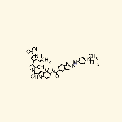 C=Cc1[nH]c(C(=O)O)cc1C1=C(C)N(C(=O)c2cc3c4c(ccc3[nH]2)N(C(=O)c2ccc3nc(/N=N/c5ccc(N(C)C)cc5)sc3c2)CC4)CC1